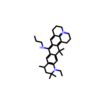 CCCNC1=c2cc3c4c(c2C(C)(C)c2cc5c(cc21)C(C)CC(C)(C)N5CC)CCC[N+]=4CCC3